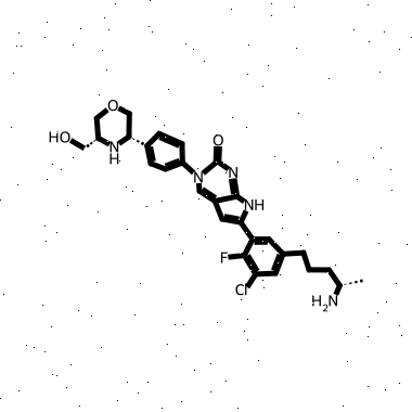 C[C@H](N)CCCc1cc(Cl)c(F)c(-c2cc3cn(-c4ccc([C@H]5COC[C@@H](CO)N5)cc4)c(=O)nc3[nH]2)c1